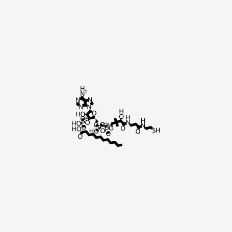 CC(C)(COP(=O)(O)OP(=O)(O)OC[C@H]1O[C@@H](n2cnc3c(N)ncnc32)[C@H](O)[C@@H]1OP(=O)(O)O)[C@@H](O)C(=O)NCCC(=O)NCCS.CCCCCCCCCCCC(=O)O